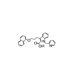 O=C(O)c1c(CCCOc2cccc3ccccc23)c2ccccc2n1Cc1ccccn1